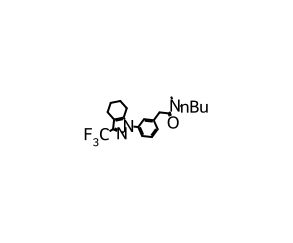 CCCCN(C)C(=O)Cc1cccc(-n2nc(C(F)(F)F)c3c2CCCC3)c1